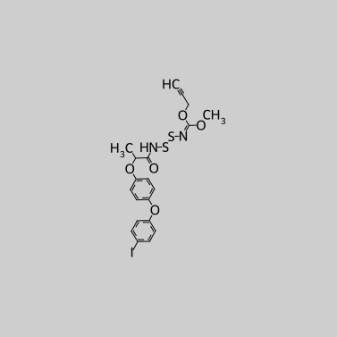 C#CCOC(=NSSNC(=O)C(C)Oc1ccc(Oc2ccc(I)cc2)cc1)OC